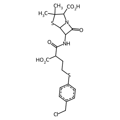 CC1(C)SC2C(NC(=O)C(CCSc3ccc(CCl)cc3)C(=O)O)C(=O)N2C1C(=O)O